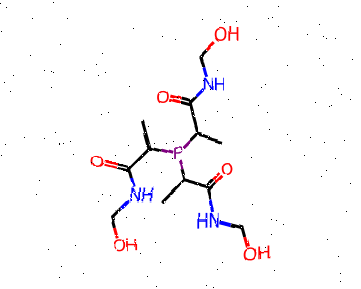 CC(C(=O)NCO)P(C(C)C(=O)NCO)C(C)C(=O)NCO